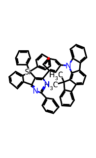 CC1(C)c2ccccc2-c2ccc3c4ccccc4n(-c4cccc(-c5nc(-c6ccccc6)nc6c5[Si](c5ccccc5)(c5ccccc5)c5ccccc5-6)c4)c3c21